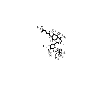 CCC1O[C@@H](O[Si](C)(C)C(C)(C)C)C(N=[N+]=[N-])[C@@H](C)[C@@H]1O[C@@H]1OC(C(C)=O)[C@@H](C)[C@H](C)C1OC(=O)CCC(C)=O